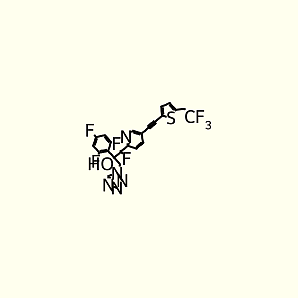 OC(Cn1cnnn1)(c1ccc(F)cc1F)C(F)(F)c1ccc(C#Cc2ccc(CC(F)(F)F)s2)cn1